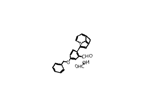 O=CO.O=Cc1cc(OCc2ccccc2)ccc1-c1cc2c3c(cccn13)C2